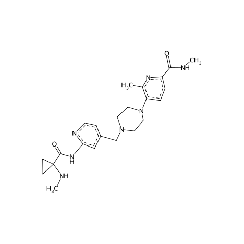 CNC(=O)c1ccc(N2CCN(Cc3ccnc(NC(=O)C4(NC)CC4)c3)CC2)c(C)n1